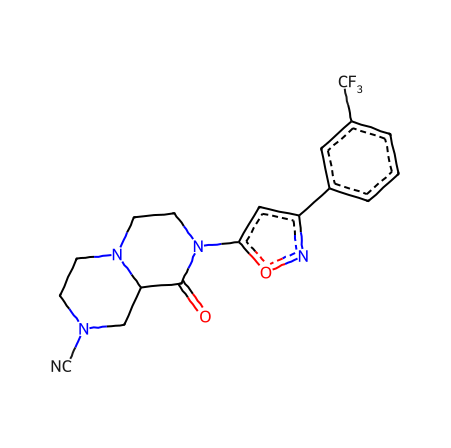 N#CN1CCN2CCN(c3cc(-c4cccc(C(F)(F)F)c4)no3)C(=O)C2C1